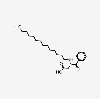 CCCCCCCCCCCCCCNN(CC(=O)O)C(=O)c1ccccc1